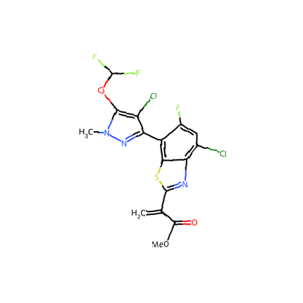 C=C(C(=O)OC)c1nc2c(Cl)cc(F)c(-c3nn(C)c(OC(F)F)c3Cl)c2s1